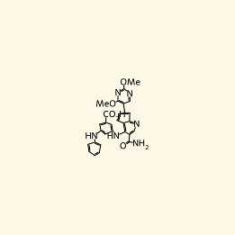 COc1ncc(-c2ccc3c(Nc4cc(Nc5ccccc5)cc(C(=O)O)c4)c(C(N)=O)cnc3c2)c(OC)n1